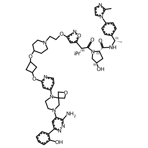 Cc1nccn1-c1ccc([C@H](C)NC(=O)[C@@H]2C[C@@H](O)CN2C(=O)[C@@H](c2cc(OCCN3CCC(OC4CC(Oc5cc(N6CCN(c7cc(-c8ccccc8O)nnc7N)CC67COC7)ccn5)C4)CC3)no2)C(C)C)cc1